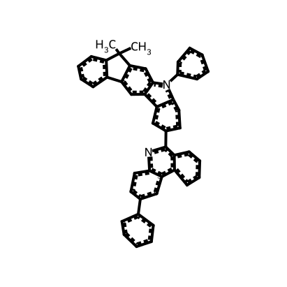 CC1(C)c2ccccc2-c2cc3c4cc(-c5nc6ccc(-c7ccccc7)cc6c6ccccc56)ccc4n(-c4ccccc4)c3cc21